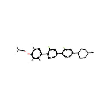 CCc1cc(-c2ccc(-c3ccc(C4CCC(C)CC4)cc3F)cc2F)c(CC)c(CC)c1OCC(CC)CC